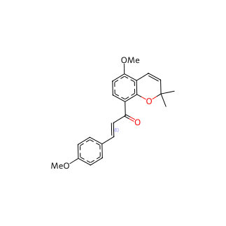 COc1ccc(/C=C/C(=O)c2ccc(OC)c3c2OC(C)(C)C=C3)cc1